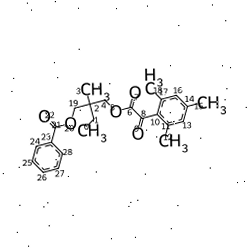 CCC(C)(COC(=O)C(=O)c1c(C)cc(C)cc1C)COC(=O)c1ccccc1